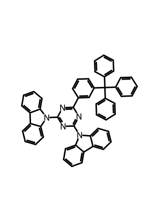 c1ccc(C(c2ccccc2)(c2ccccc2)c2cccc(-c3nc(-n4c5ccccc5c5ccccc54)nc(-n4c5ccccc5c5ccccc54)n3)c2)cc1